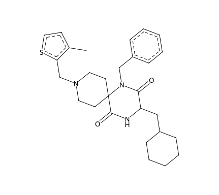 Cc1ccsc1CN1CCC2(CC1)C(=O)NC(CC1CCCCC1)C(=O)N2Cc1ccccc1